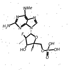 CNc1nc(N)nc2c1ncn2[C@@H]1O[C@](F)(COP(=O)(O)O)[C@@H](O)[C@@]1(C)F